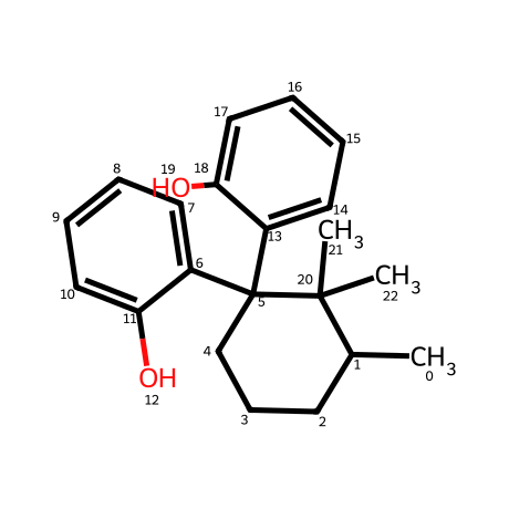 CC1CCCC(c2ccccc2O)(c2ccccc2O)C1(C)C